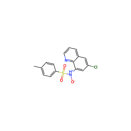 Cc1ccc(S(=O)(=O)[NH+]([O-])c2cc(Cl)cc3cccnc23)cc1